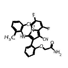 Cc1cccc(C)c1Nc1c(-c2ccccc2OCC(N)=O)c(C#N)c2c(F)cc(F)cn12